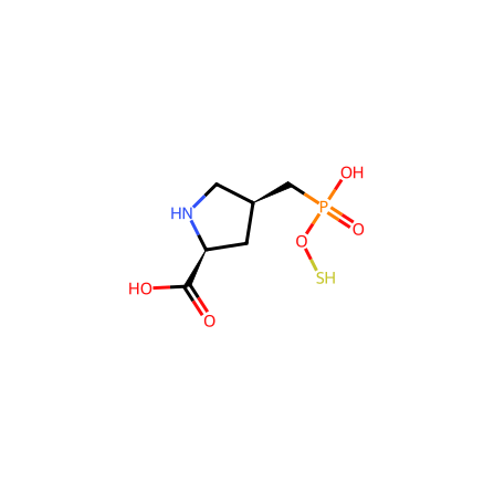 O=C(O)[C@@H]1C[C@H](CP(=O)(O)OS)CN1